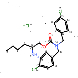 CCCC[C@H](N)COC(=O)N(Cc1ccc(Cl)cc1)Cc1ccc(Cl)cc1.Cl